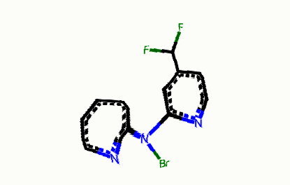 FC(F)c1ccnc(N(Br)c2ccccn2)c1